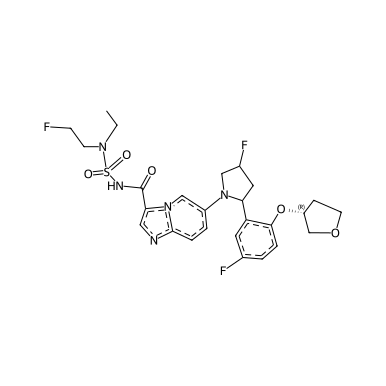 CCN(CCF)S(=O)(=O)NC(=O)c1cnc2ccc(N3CC(F)CC3c3cc(F)ccc3O[C@@H]3CCOC3)cn12